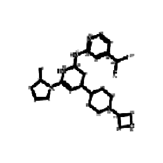 C[C@@H]1CCCN1C1=CC(C2CCN(C3COC3)CC2)CC(Nc2cc(C(F)F)ccn2)N1